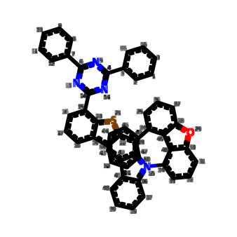 c1ccc(-c2nc(-c3ccccc3)nc(-c3cccc4c3sc3c(-c5cccc6oc7cccc(-n8c9ccccc9c9ccccc98)c7c56)cccc34)n2)cc1